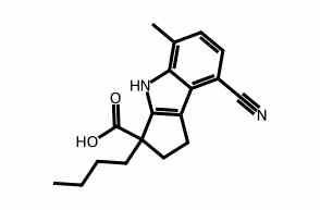 CCCCC1(C(=O)O)CCc2c1[nH]c1c(C)ccc(C#N)c21